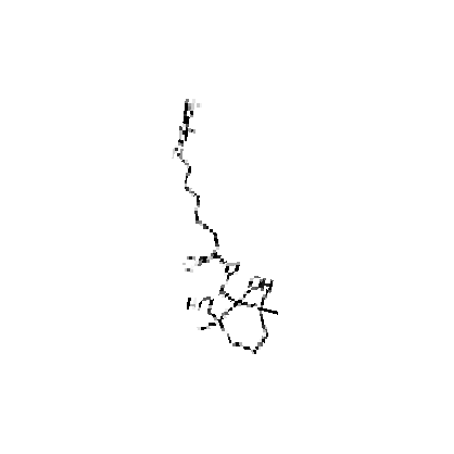 CC1(C)CCCC(C)(O)C1(O)COC(=O)CCCCCN=[N+]=[N-]